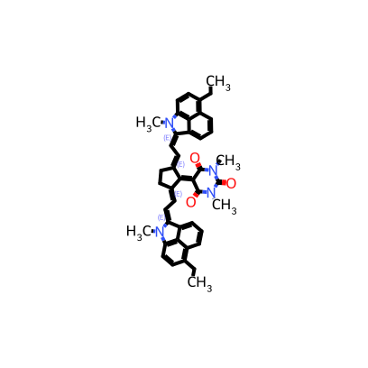 CCc1ccc2c3c1cccc3/c(=C\C=C1/CC/C(=C\C=c3/c4cccc5c(CC)ccc(c54)n3C)C1=C1C(=O)N(C)C(=O)N(C)C1=O)n2C